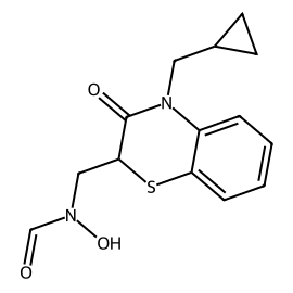 O=CN(O)CC1Sc2ccccc2N(CC2CC2)C1=O